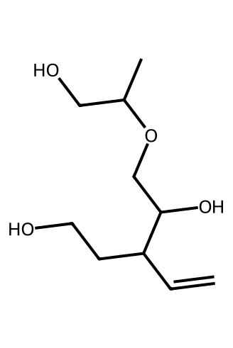 C=CC(CCO)C(O)COC(C)CO